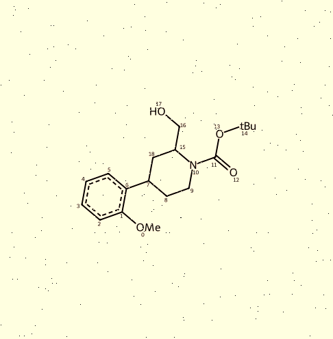 COc1ccccc1C1CCN(C(=O)OC(C)(C)C)C(CO)C1